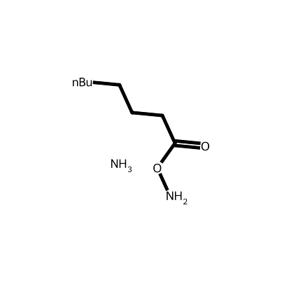 CCCCCCCC(=O)ON.N